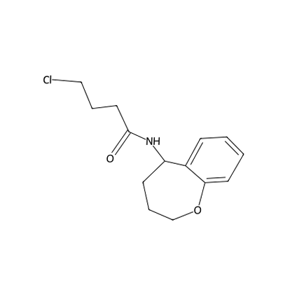 O=C(CCCCl)NC1CCCOc2ccccc21